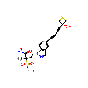 CC(CCn1ncc2cc(C#CC#CC3(O)CSC3)ccc21)(C(=O)NO)S(C)(=O)=O